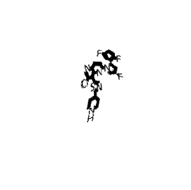 Fc1ccc(F)c([C@H]2C[C@H](F)CN2c2ccc3ncc(Cl)c(-c4cnc(C5CCNCC5)s4)c3n2)c1